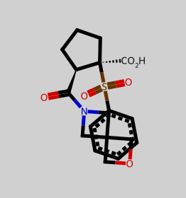 O=C([C@H]1CCC[C@@]1(C(=O)O)S(=O)(=O)c1ccccc1)N1CC2(COC2)C1